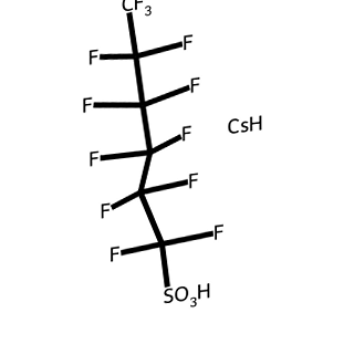 O=S(=O)(O)C(F)(F)C(F)(F)C(F)(F)C(F)(F)C(F)(F)C(F)(F)F.[CsH]